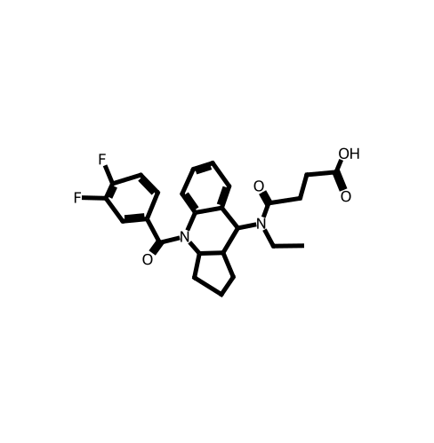 CCN(C(=O)CCC(=O)O)C1c2ccccc2N(C(=O)c2ccc(F)c(F)c2)C2CCCC12